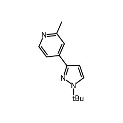 Cc1cc(-c2ccn(C(C)(C)C)n2)ccn1